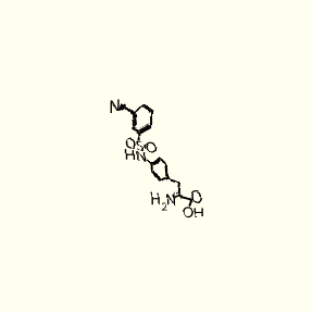 N#Cc1cccc(S(=O)(=O)Nc2ccc(C[C@H](N)C(=O)O)cc2)c1